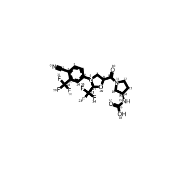 N#Cc1ccc(N2CC(C(=O)N3CC[C@@H](NC(=O)O)C3)OC2C(F)(F)F)cc1C(F)(F)F